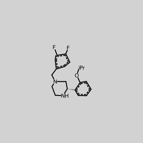 CC(C)Oc1ccccc1[C@H]1CN(Cc2ccc(F)c(F)c2)CCN1